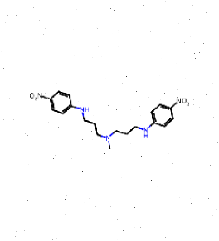 CN(CCCNc1ccc([N+](=O)[O-])cc1)CCCNc1ccc([N+](=O)[O-])cc1